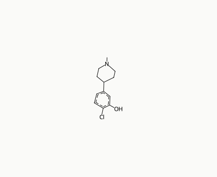 CN1CCC(c2ccc(Cl)c(O)c2)CC1